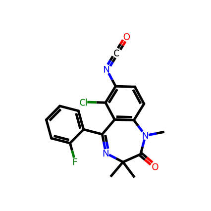 CN1C(=O)C(C)(C)N=C(c2ccccc2F)c2c1ccc(N=C=O)c2Cl